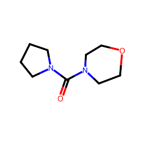 O=C(N1CCCC1)N1CCOCC1